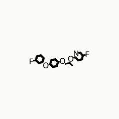 CC(COc1ccc(Oc2cccc(F)c2)cc1)Oc1ccc(F)cn1